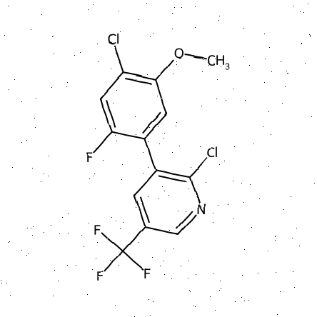 COc1cc(-c2cc(C(F)(F)F)cnc2Cl)c(F)cc1Cl